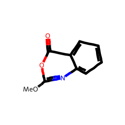 COc1nc2ccccc2c(=O)o1